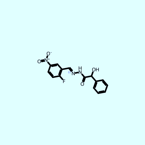 O=C(N/N=C/c1cc([N+](=O)[O-])ccc1F)C(O)c1ccccc1